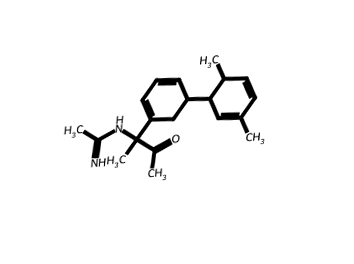 CC(=N)NC(C)(C(C)=O)C1=CC=CC(C2C=C(C)C=CC2C)C1